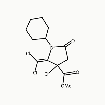 COC(=O)C1(Cl)CC(=O)N(C2CCCCC2)C1=C(Cl)Cl